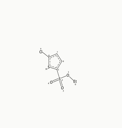 CCOS(=O)(=O)c1ccc(Cl)s1